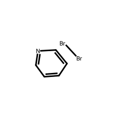 BrBr.c1ccncc1